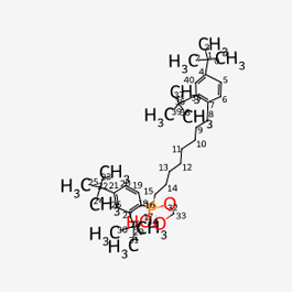 CC(C)(C)c1ccc(CCCCCCCCP2(O)(c3ccc(C(C)(C)C)cc3C(C)(C)C)OCO2)c(C(C)(C)C)c1